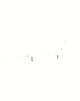 CCCCCCCCCCCCCC(=O)OCCCCC(=O)NCCCCCCCCCCCC